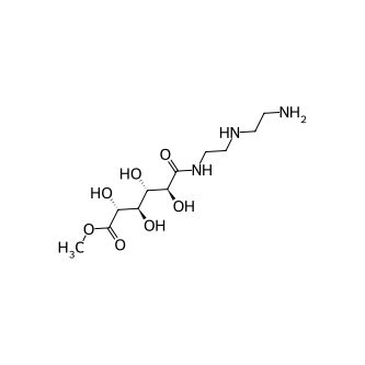 COC(=O)[C@H](O)[C@H](O)[C@H](O)[C@H](O)C(=O)NCCNCCN